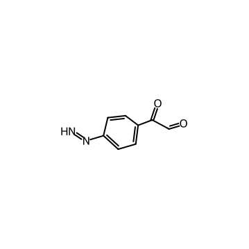 N=Nc1ccc(C(=O)C=O)cc1